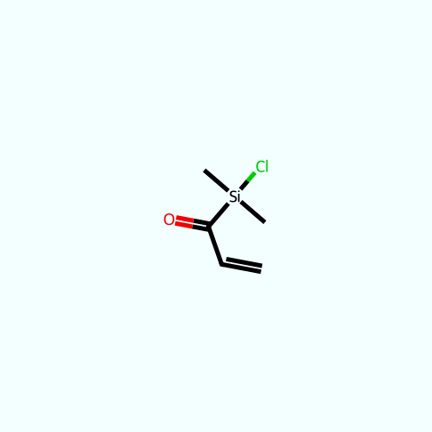 C=CC(=O)[Si](C)(C)Cl